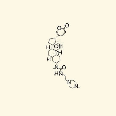 CN1CCN(CCNC(=O)N(C)[C@H]2CC[C@@]3(C)[C@H](CC[C@@H]4[C@@H]3CC[C@]3(C)[C@@H](c5ccc(=O)oc5)CC[C@]43O)C2)CC1